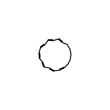 [C]1=C/C=C/C=C/C=C\C=C\C=C\C=C/CCCCC/1